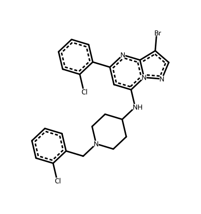 Clc1ccccc1CN1CCC(Nc2cc(-c3ccccc3Cl)nc3c(Br)cnn23)CC1